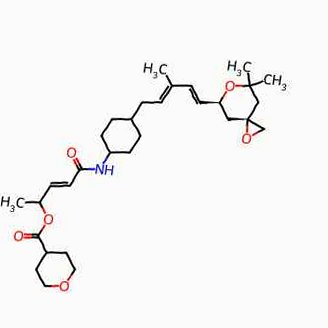 CC(C=C[C@@H]1C[C@]2(CO2)CC(C)(C)O1)=CCC1CCC(NC(=O)C=CC(C)OC(=O)C2CCOCC2)CC1